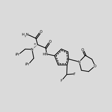 CC(C)CN(CC(C)C)[C@H](C(N)=O)C(=O)Nc1ccc(N2CCOCC2=O)c(C(F)F)c1